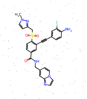 Cn1ccc(CS(=O)(=O)c2ccc(C(=O)NCc3ccn4ccnc4c3)cc2C#Cc2ccc(N)c(F)c2)n1